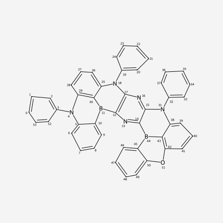 c1ccc(N2c3ccccc3B3c4nc5c(nc4N(c4ccccc4)c4cccc2c43)N(c2ccccc2)c2cccc3c2B5c2ccccc2O3)cc1